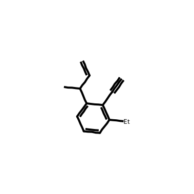 C#Cc1c(CC)cccc1[C](C)C=C